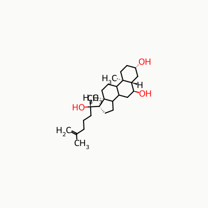 C=C(C)CCC[C@](C)(O)[C@H]1CCC2C3C[C@H](O)[C@H]4C[C@@H](O)CC[C@]4(C)C3CC[C@@]21C